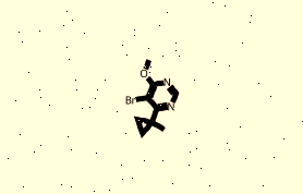 COc1ncnc(C2(C)CC2)c1Br